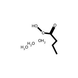 CCCC(=O)OO.O.O.O